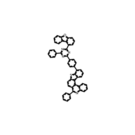 c1ccc(-c2nc(-c3ccc(-c4cccc5c4sc4ccc6c(-c7ccccc7)nc7ccccc7c6c45)cc3)nc(-c3cccc4oc5ccccc5c34)n2)cc1